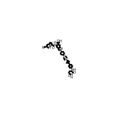 CC(C)(O)c1cc2nn(C3CCC(N4CCN(C5CC(c6ccc(N[C@@H]7CCC(=O)NC7=O)cc6)C5)CC4)CC3)cc2cc1NC(=O)c1ccc2cc(C#N)cnn12